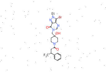 CCn1nc2c(=O)n(CC3(O)CCN(C(=O)CC(c4ccccc4)C(F)(F)F)CC3)cnc2c1Br